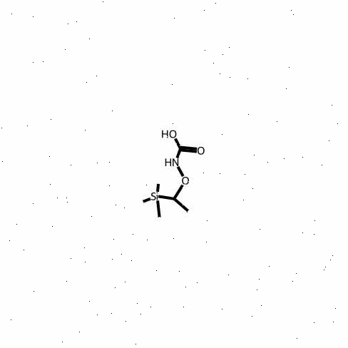 CC(ONC(=O)O)[Si](C)(C)C